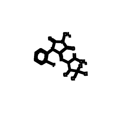 CNC(N=C1C(=O)N(C)C(=O)N1c1ccccc1F)C(Cl)C(Cl)(Cl)Cl